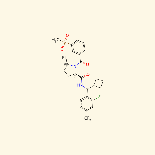 CC[C@@H]1CC[C@H](C(=O)NC(c2ccc(C(F)(F)F)cc2F)C2CCC2)N1C(=O)c1cccc(S(C)(=O)=O)c1